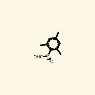 Cc1cc(C)c([PH](=O)C=O)c(C)c1